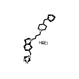 Cl.Cl.c1ccc(CC2CCN(CCCn3ccc4ccc(Cn5cnnc5)cc43)CC2)cc1